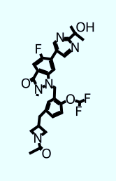 CC(=O)N1CC(Cc2ccc(OC(F)F)c(Cn3c4cc(-c5cnc(C(C)(C)O)nc5)c(F)cc4c(=O)n3C)c2)C1